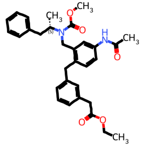 CCOC(=O)Cc1cccc(Cc2ccc(NC(C)=O)cc2CN(C(=O)OC)[C@@H](C)Cc2ccccc2)c1